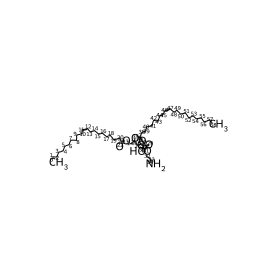 CCCCCCCCCCC/C=C\CCCCCCCCC(=O)OC[C@H](COP(=O)(O)OCCN)OC(=O)CCCCCCCC/C=C\CCCCCCCCCCC